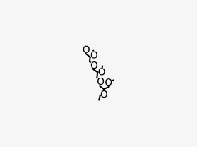 CCOC(COC)COCC(COCC(COC)OC)OC